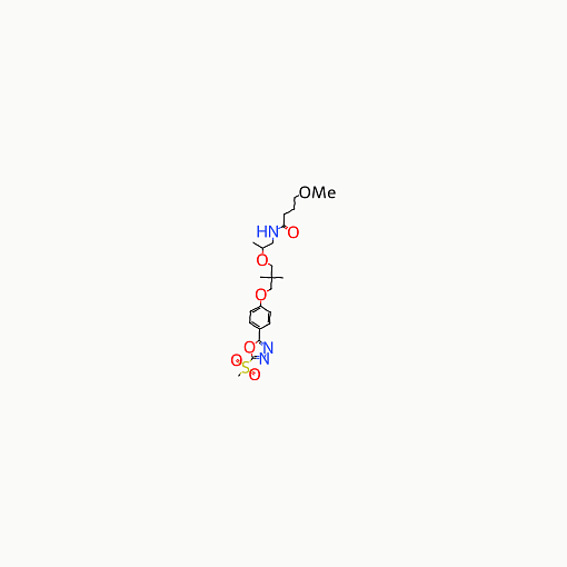 COCCCC(=O)NCC(C)OCC(C)(C)COc1ccc(-c2nnc(S(C)(=O)=O)o2)cc1